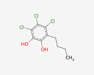 CCCCc1c(O)c(O)c(Cl)c(Cl)c1Cl